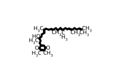 CC(C)=CCC/C(C)=C/CC/C(C)=C/CC/C(C)=C/CC/C(C)=C/CCC(C)(O)CCC1=CC(=O)C(C)=C(C)C1=O